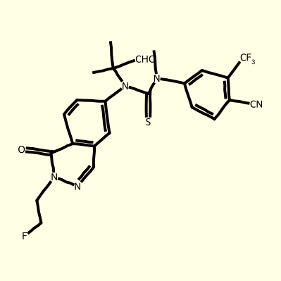 CN(C(=S)N(c1ccc2c(=O)n(CCF)ncc2c1)C(C)(C)C=O)c1ccc(C#N)c(C(F)(F)F)c1